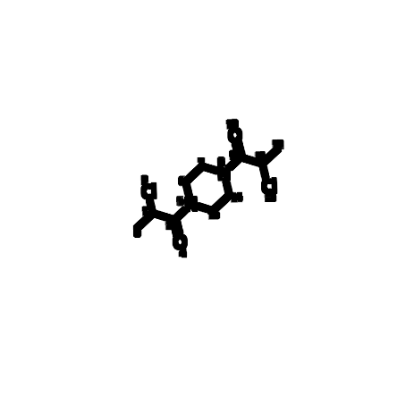 CC(Cl)C(=O)N1CCN(C(=O)C(C)Cl)CC1